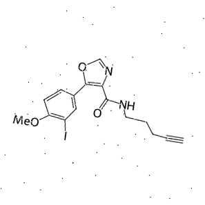 C#CCCCNC(=O)c1ncoc1-c1ccc(OC)c(I)c1